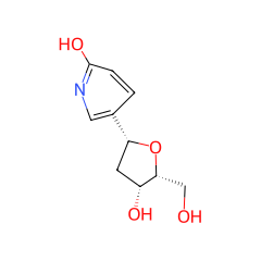 OC[C@H]1O[C@@H](c2ccc(O)nc2)C[C@H]1O